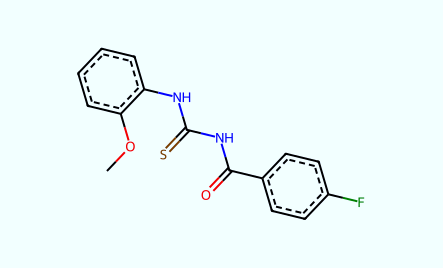 COc1ccccc1NC(=S)NC(=O)c1ccc(F)cc1